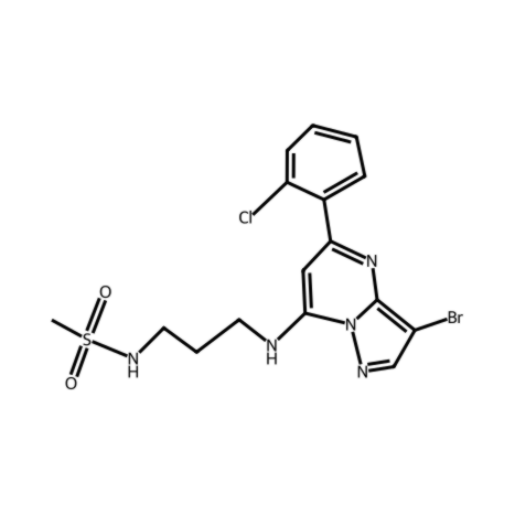 CS(=O)(=O)NCCCNc1cc(-c2ccccc2Cl)nc2c(Br)cnn12